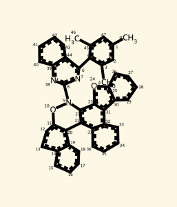 Cc1cc(C)c(-c2nc(N3Oc4ccc5ccccc5c4-c4c3c3oc5ccccc5c3c3ccccc43)nc3ccccc23)c(C)c1